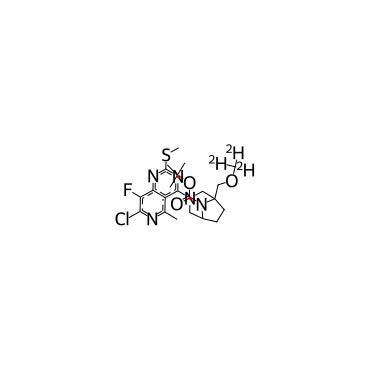 [2H]C([2H])([2H])OCC12CCC(CN(c3nc(SC)nc4c(F)c(Cl)nc(C)c34)C1)N2C(=O)OC(C)(C)C